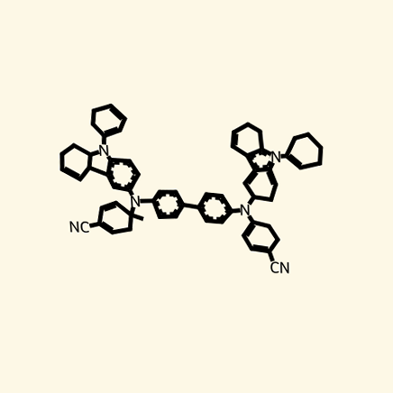 CC1(N(c2ccc(-c3ccc(N(C4=CC=C(C#N)CC4)C4C=c5c6c(n(C7=CCCCC7)c5=CC4)CCC=C6)cc3)cc2)c2ccc3c(c2)C2C=CCCC2N3C2=CC=CCC2)C=CC(C#N)=CC1